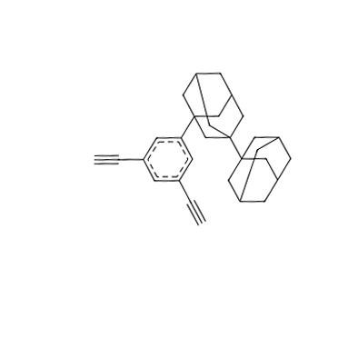 C#Cc1cc(C#C)cc(C23CC4CC(C2)CC(C25CC6CC(CC(C6)C2)C5)(C4)C3)c1